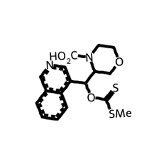 CSC(=S)OC(c1cncc2ccccc12)C1COCCN1C(=O)O